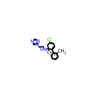 Cc1ccccc1C1=CC=C(Cl)CC1(C)NCCn1cncn1